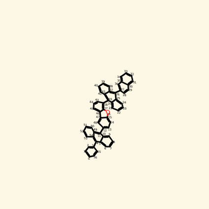 c1ccc(-c2c3ccccc3c(-c3ccc4oc5c(-c6c7ccccc7c(-c7ccc8ccccc8c7)c7ccccc67)cccc5c4c3)c3ccccc23)cc1